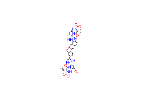 CC[C@H](C)[C@H](NC(=O)OC)C(=O)N1C[C@@H](COC)C[C@H]1c1ncc(-c2ccc3c(c2)COc2cc4c(ccc5nc([C@@H]6CC[C@H](C)N6C(=O)[C@@H](NC(=O)OC)C(C)C)[nH]c54)cc2-3)[nH]1